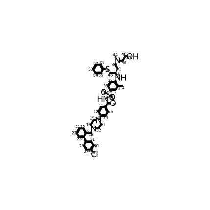 Cc1cc(S(=O)(=O)NC(=O)c2ccc(N3CCN(Cc4ccccc4-c4ccc(Cl)cc4)CC3)cc2)ccc1N[C@H](CCN(C)CCO)CSc1ccccc1